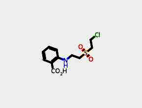 O=C(O)c1[c]cccc1NCCS(=O)(=O)CCCl